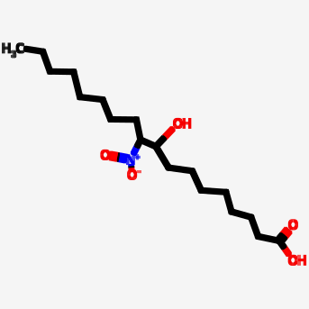 CCCCCCCCC(C(O)CCCCCCCC(=O)O)[N+](=O)[O-]